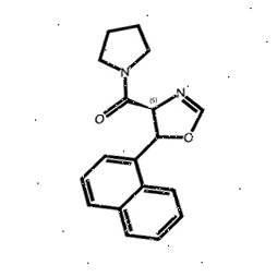 O=C([C@H]1N=COC1c1cccc2ccccc12)N1CCCC1